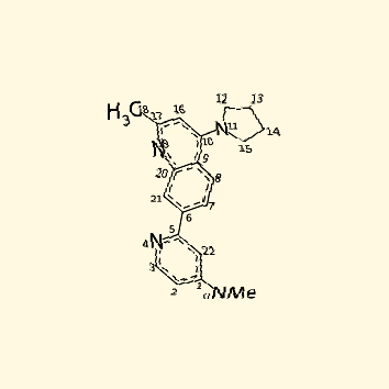 CNc1ccnc(-c2ccc3c(N4CCCC4)cc(C)nc3c2)c1